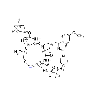 COc1ccc2c(O[C@@H]3C[C@H]4C(=O)N[C@]5(C(=O)NS(=O)(=O)C6(C)CC6)C[C@H]5/C=C\CC[C@@H](C)C[C@@H](C)[C@H](NC(=O)O[C@@H]5C[C@@H]6C[C@@H]6C5)C(=O)N4C3)nc(N3CCOCC3)cc2c1